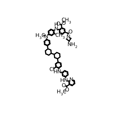 COC(=O)c1cc(C(=O)N2CC(N)C2)ccc1Nc1ccc(N(C)c2ccc(C3CCCC(C4CCCC(c5ccc(Nc6cccc(Nc7ncccc7C(=O)OC)c6)c(Cl)c5)C4)C3)cc2)cc1C